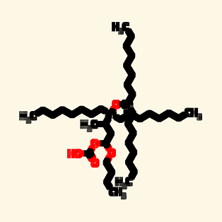 CCCCCCC[CH2][SnH]([CH2]CCCCCCC)[O][Sn]([CH2]CCCCCCC)([CH2]CCCCCCC)[CH](C)CC(OCCCC)OC(=O)O